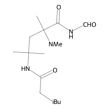 CCC(C)CC(=O)NC(C)(C)CC(C)(NC)C(=O)NC=O